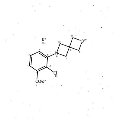 O=C([O-])c1cccc(N2CC3(COC3)C2)c1Cl.[K+]